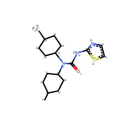 CC1CCC(N(C(=O)Nc2nccs2)C2CCC(C(F)(F)F)CC2)CC1